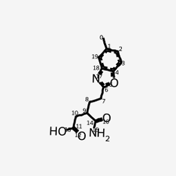 Cc1ccc2oc(CCC(CC(=O)O)C(N)=O)nc2c1